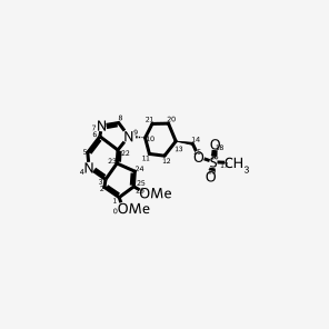 COc1cc2ncc3ncn([C@H]4CC[C@H](COS(C)(=O)=O)CC4)c3c2cc1OC